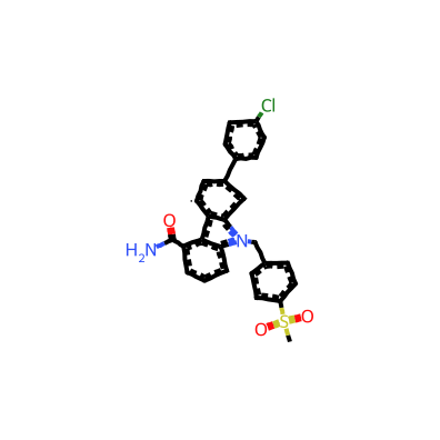 CS(=O)(=O)c1ccc(Cn2c3cc(-c4ccc(Cl)cc4)c[c]c3c3c(C(N)=O)cccc32)cc1